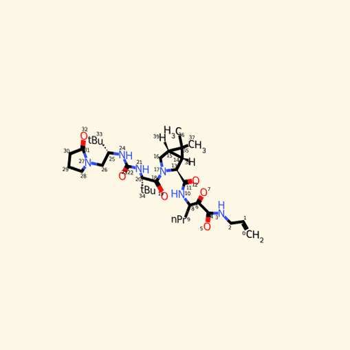 C=CCNC(=O)C(=O)C(CCC)NC(=O)[C@@H]1[C@@H]2[C@H](CN1C(=O)[C@@H](NC(=O)N[C@H](CN1CCCC1=O)C(C)(C)C)C(C)(C)C)C2(C)C